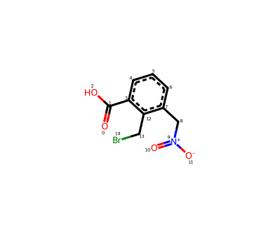 O=C(O)c1cccc(C[N+](=O)[O-])c1CBr